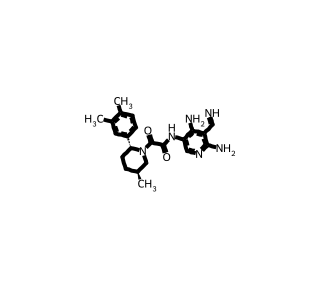 Cc1ccc([C@H]2CC[C@H](C)CN2C(=O)C(=O)Nc2cnc(N)c(C=N)c2N)cc1C